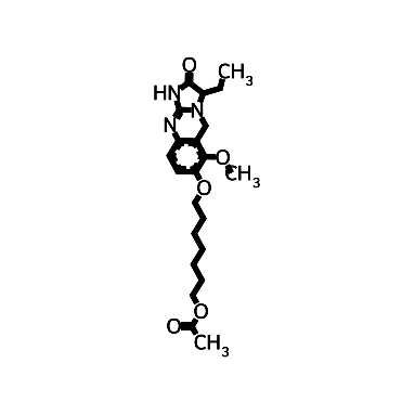 CCC1C(=O)NC2=Nc3ccc(OCCCCCCCOC(C)=O)c(OC)c3CN21